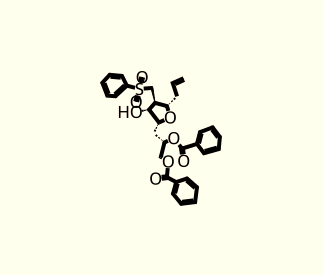 C=CC[C@@H]1O[C@H](C[C@@H](COC(=O)c2ccccc2)OC(=O)c2ccccc2)[C@H](O)[C@H]1CS(=O)(=O)c1ccccc1